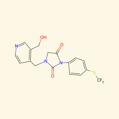 O=C1CN(Cc2ccncc2CO)C(=O)N1c1ccc(SC(F)(F)F)cc1